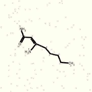 CCCCCC(N)=CC(N)=O